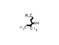 [CH2]CCC(=N)C(C)CC